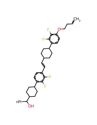 C=CCCOc1ccc(C2CCC(/C=C/c3ccc(C4CCC(C(O)CCC)CC4)c(F)c3F)CC2)c(F)c1F